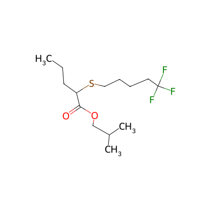 CCCC(SCCCCC(F)(F)F)C(=O)OCC(C)C